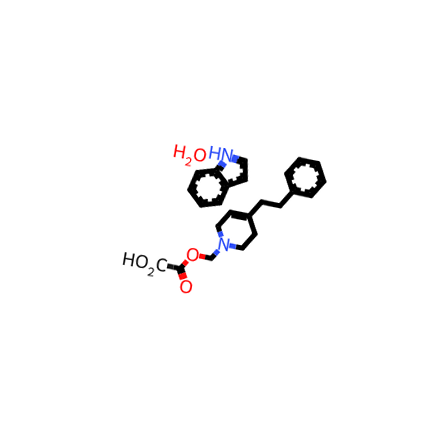 O.O=C(O)C(=O)OCN1CC=C(CCc2ccccc2)CC1.c1ccc2[nH]ccc2c1